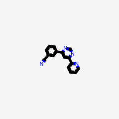 N#Cc1cccc(-c2cc(-c3ccccn3)ncn2)c1